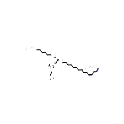 CCCCC/C=C\C/C=C\CCCCCCCCCC(=O)O[C@H](COCCCCCCCCCCCCCCCC)COP(=O)([O-])OCC[N+](C)(C)C